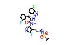 [N-]=[N+]=N[C@H](C(=O)Nc1cncc(F)c1CCC1CN1S(=O)(=O)C1CC1)[C@@H](c1ccc(Cl)cc1)c1cccc(F)c1